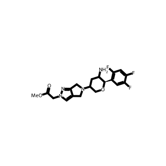 COC(=O)Cn1cc2c(n1)CN(C1CO[C@H](c3cc(F)c(F)cc3F)C(N)C1)C2